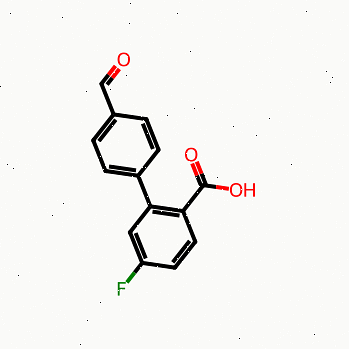 O=Cc1ccc(-c2cc(F)ccc2C(=O)O)cc1